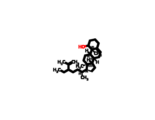 C=C(C)C(CC)CC[C@@H](C)[C@H]1CC[C@H]2[C@@H]3CC=C4CCCC(O)[C@]4(C)[C@H]3CC[C@]12C